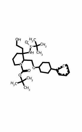 CC(C)(C)OC(=O)N1CCCC(CCO)(N[S@+]([O-])C(C)(C)C)C1COC1CCC(c2ccccc2)CC1